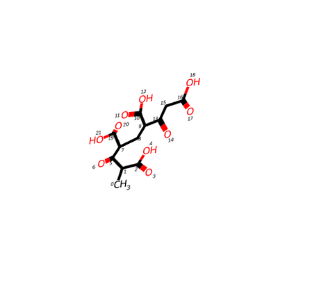 CC(C(=O)O)C(=O)C(CC(C(=O)O)C(=O)CC(=O)O)C(=O)O